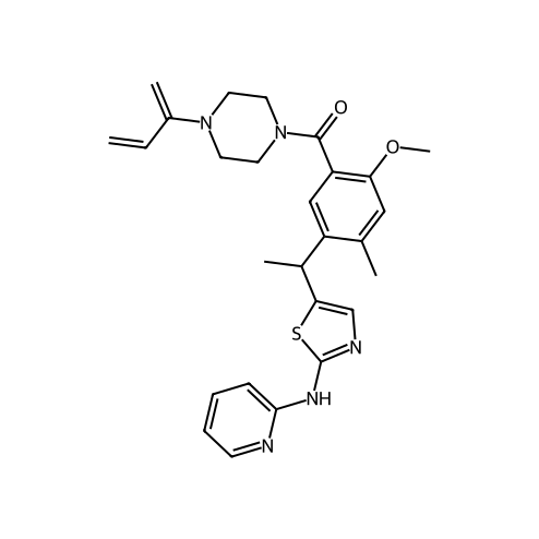 C=CC(=C)N1CCN(C(=O)c2cc(C(C)c3cnc(Nc4ccccn4)s3)c(C)cc2OC)CC1